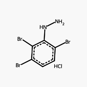 Cl.NNc1c(Br)ccc(Br)c1Br